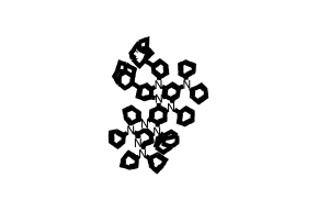 c1ccc(N(c2ccccc2)c2cc3c4c(c2)n(-c2ccccc2)c2cc5c(cc2n4c2ccc(C46CC7CC8CC(C4)C8(C7)C6)cc2n3-c2cccc(C34CC6CC7CC(C3)C7(C6)C4)c2)n2c3ccccc3n(-c3ccccc3)c3nc(N(c4ccccc4)c4ccccc4)cc(c32)n5C23CC4CC(CC(C4)C2)C3)cc1